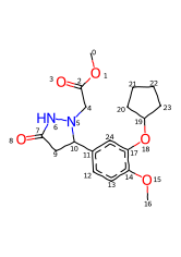 COC(=O)CN1NC(=O)CC1c1ccc(OC)c(OC2CCCC2)c1